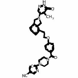 Cc1c(N2Cc3cccc(CCOc4ccc(C(=O)N5CCN(c6ccc(C#N)cn6)CC5)cc4)c3C2)cn[nH]c1=O